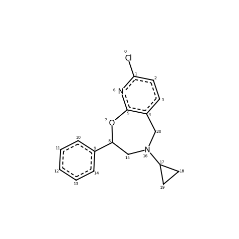 Clc1ccc2c(n1)OC(c1ccccc1)CN(C1CC1)C2